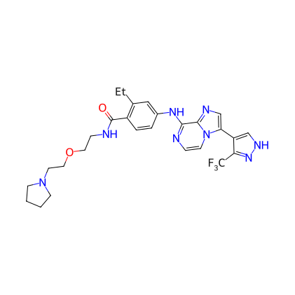 CCc1cc(Nc2nccn3c(-c4c[nH]nc4C(F)(F)F)cnc23)ccc1C(=O)NCCOCCN1CCCC1